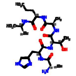 CC[C@H](C)[C@H](N)C(=O)N[C@@H](Cc1c[nH]cn1)C(=O)N[C@H](C(=O)N[C@@H](C)C(=O)N[C@@H](CCC(=O)O)C(=O)N[C@H](C(=O)O)[C@@H](C)CC)[C@@H](C)O